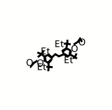 CCC(C)(C)c1cc(CCc2cc(C(C)(C)CC)c(OCC3CO3)c(C(C)(C)CC)c2)cc(C(C)(C)CC)c1OCC1CO1